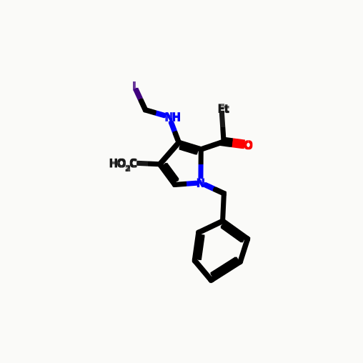 CCC(=O)c1c(NCI)c(C(=O)O)cn1Cc1ccccc1